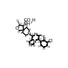 Cc1nc(N2CCC3(CC2)CO[C@@H](C)[C@H]3NC(=O)O)c2cncn2c1-c1cccc(Cl)c1F